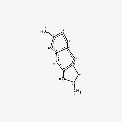 Cc1ccc2cc3c(nc2c1)OC(C)C3